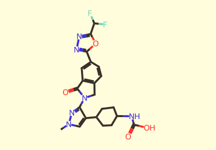 Cn1cc(C2CCC(NC(=O)O)CC2)c(N2Cc3ccc(-c4nnc(C(F)F)o4)cc3C2=O)n1